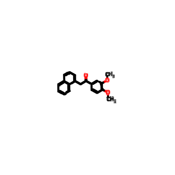 COc1ccc(C(=O)Cc2cccc3ccccc23)cc1OC